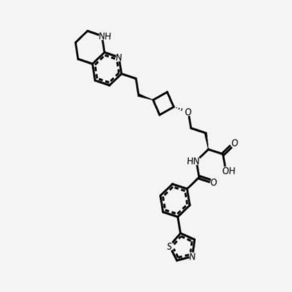 O=C(N[C@@H](CCO[C@H]1C[C@H](CCc2ccc3c(n2)NCCC3)C1)C(=O)O)c1cccc(-c2cncs2)c1